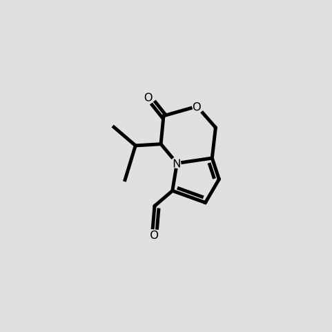 CC(C)C1C(=O)OCc2ccc(C=O)n21